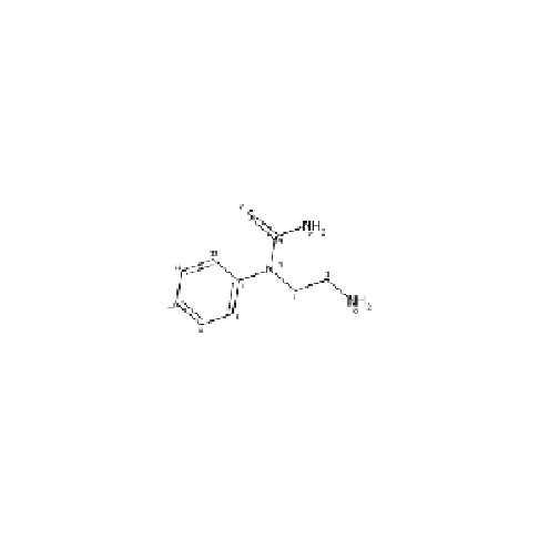 NCCN(C(N)=S)c1cc[c]cc1